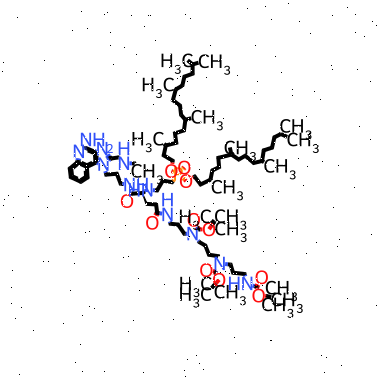 CCNCc1nc2c(N)nc3ccccc3c2n1CCCNC(=O)[C@H](CCC(=O)NCCCN(CCCCN(CCCNC(=O)OC(C)(C)C)C(=O)OC(C)(C)C)C(=O)OC(C)(C)C)NCCCP(=O)(OCCC(C)CCCC(C)CCCC(C)CCCC(C)C)OCCC(C)CCCC(C)CCCC(C)CCCC(C)C